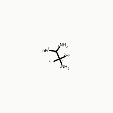 [2H]C([2H])(N)C(N)CCC